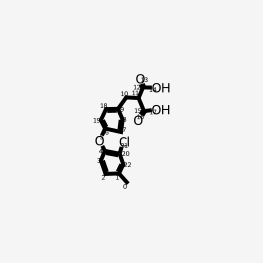 Cc1ccc(Oc2ccc(CC(C(=O)O)C(=O)O)cc2)c(Cl)c1